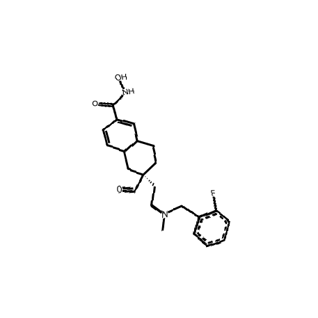 CN(CC[C@@]1(C=O)CCC2C=C(C(=O)NO)C=CC2C1)Cc1ccccc1F